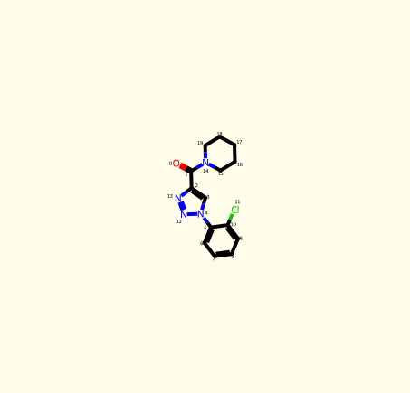 O=C(c1cn(-c2ccccc2Cl)nn1)N1CCCCC1